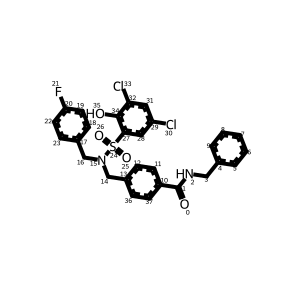 O=C(NCc1ccccc1)c1ccc(CN(Cc2ccc(F)cc2)S(=O)(=O)c2cc(Cl)cc(Cl)c2O)cc1